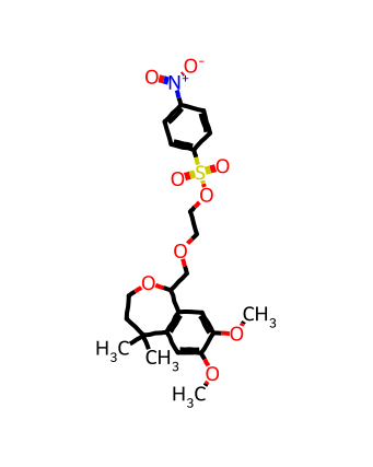 COc1cc2c(cc1OC)C(C)(C)CCOC2COCCOS(=O)(=O)c1ccc([N+](=O)[O-])cc1